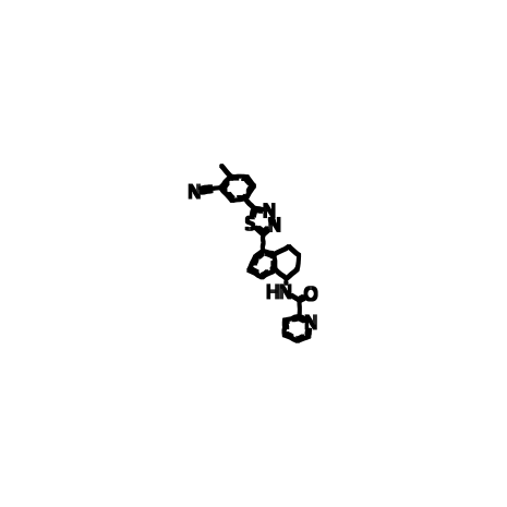 Cc1ccc(-c2nnc(-c3cccc4c3CCC[C@H]4NC(=O)c3ccccn3)s2)cc1C#N